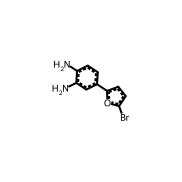 Nc1ccc(-c2ccc(Br)o2)cc1N